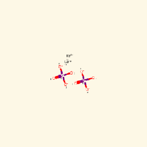 O=P([O-])([O-])[O-].O=P([O-])([O-])[O-].[La+3].[Tb+3]